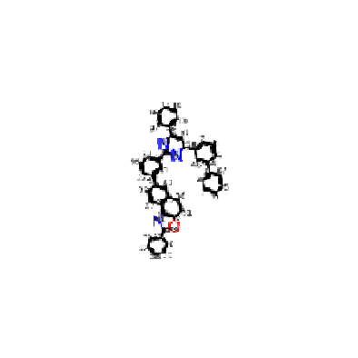 c1ccc(-c2cccc(-c3cc(-c4ccccc4)nc(-c4cccc(-c5ccc6c(ccc7oc(-c8ccccc8)nc76)c5)c4)n3)c2)cc1